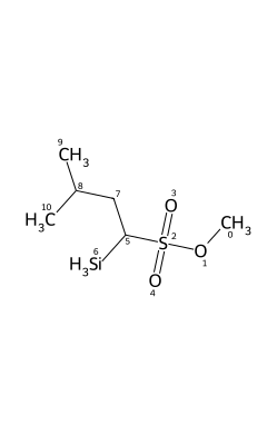 COS(=O)(=O)C([SiH3])CC(C)C